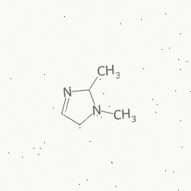 CC1N=C[CH]N1C